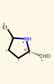 CCC1CC[C@@H]([C]=O)N1